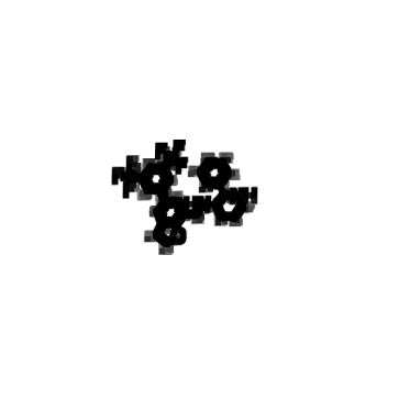 FC(F)(F)c1cc(-c2cc3c(c(CN[C@H]4CCCN[C@H]4c4ccccc4)c2)OCC3)cc(C(F)(F)F)c1